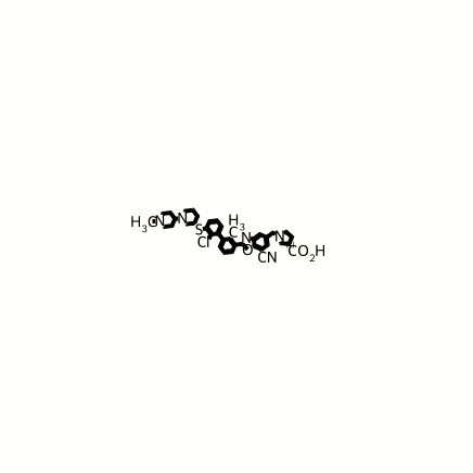 Cc1c(-c2nc3cc(CN4CC[C@@H](C(=O)O)C4)cc(C#N)c3o2)cccc1-c1cccc(SC2CCCN(C3CCN(C)CC3)C2)c1Cl